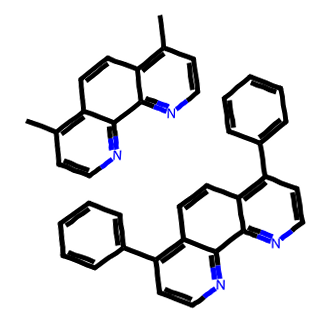 Cc1ccnc2c1ccc1c(C)ccnc12.c1ccc(-c2ccnc3c2ccc2c(-c4ccccc4)ccnc23)cc1